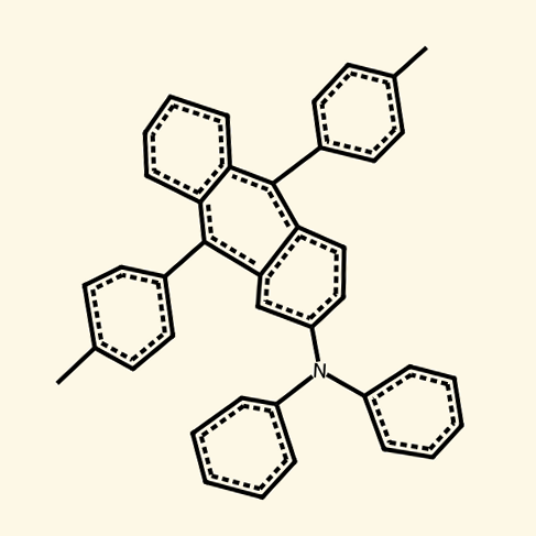 Cc1ccc(-c2c3ccccc3c(-c3ccc(C)cc3)c3cc(N(c4ccccc4)c4ccccc4)ccc23)cc1